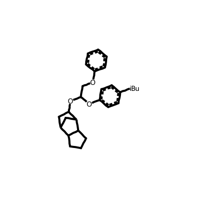 CCC(C)c1ccc(OC(COc2ccccc2)OC2CC3CC2C2CCCC32)cc1